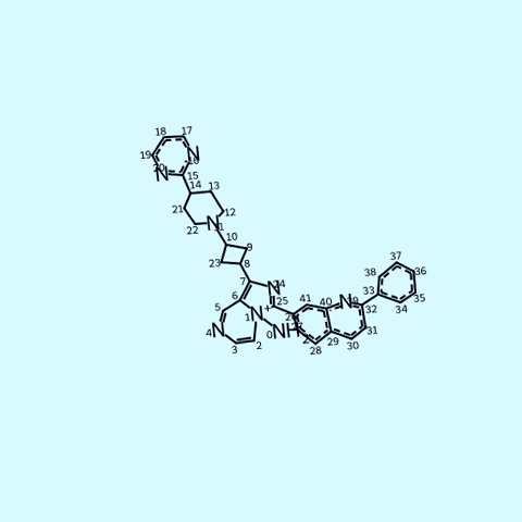 N[N+]12C=CN=CC1=C(C1CC(N3CCC(c4ncccn4)CC3)C1)N=C2c1ccc2ccc(-c3ccccc3)nc2c1